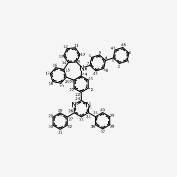 c1ccc(-c2ccc(N3c4ccccc4-c4ccccc4-c4cc(-c5nc(-c6ccccc6)cc(-c6ccccc6)n5)ccc43)cc2)cc1